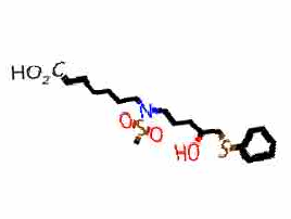 CS(=O)(=O)N(CCCCCCC(=O)O)CCCC(O)CSc1ccccc1